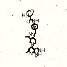 CNc1nc(C)cc(N2CCc3c(c(C)nn3CC34CCC(NC(=O)[C@@H]5COCCN5)(CC3)CC4)C2)c1C=N